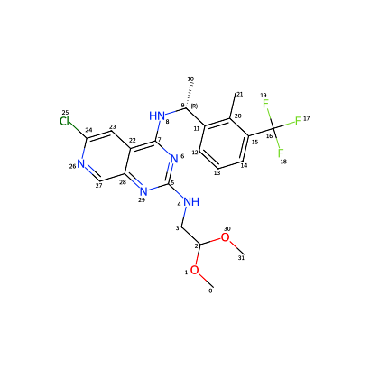 COC(CNc1nc(N[C@H](C)c2cccc(C(F)(F)F)c2C)c2cc(Cl)ncc2n1)OC